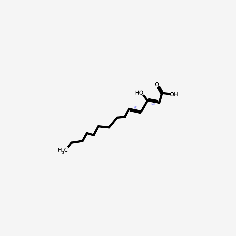 CCCCCCCCC/C=C/C(O)=C/C(=O)O